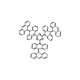 C1=Cc2cc3ccccc3c(=C3c4ccccc4N(c4nc(N5c6ccccc6C(=c6c7c(cc8ccccc68)C=CCC=7)c6ccccc65)nc(N5c6ccccc6C(=c6c7c(cc8ccccc68)C=CCC=7)c6ccccc65)n4)c4ccccc43)c2=CC1